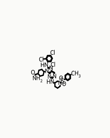 Cc1ccc(S(=O)(=O)N2CCCC(Nc3ncc4nc(Nc5c(Cl)cc(Cl)cc5Cl)n(C5CCC(C(N)=O)CC5)c4n3)C2)cc1